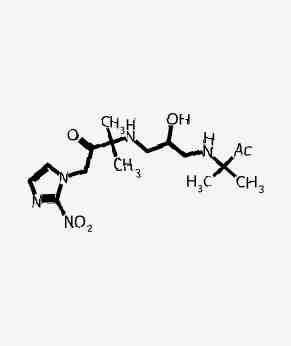 CC(=O)C(C)(C)NCC(O)CNC(C)(C)C(=O)Cn1ccnc1[N+](=O)[O-]